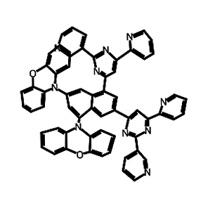 c1ccc(-c2cc(-c3cc(-c4cc(-c5ccccn5)nc(-c5cccnc5)n4)c4cc(N5c6ccccc6Oc6ccccc65)cc(N5c6ccccc6Oc6ccccc65)c4c3)nc(-c3cccnc3)n2)nc1